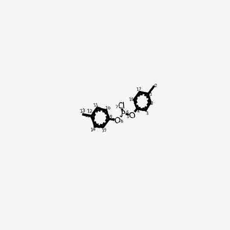 Cc1ccc(OP(Cl)Oc2ccc(C)cc2)cc1